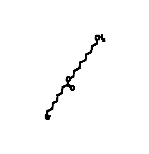 CCCCCCCCCCOC(=O)CCCCCCCBr